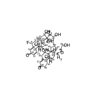 C[C@@H]1C[C@H]2[C@@H]3C[C@H](F)C4=CC(=O)C=C[C@]4(C)[C@H]3[C@@H](O)C[C@]2(C)[C@@]1(O)C(=O)CO.C[C@]12CC[C@H]3[C@@H](CCC4=CC(=O)CC[C@@]43C)[C@@H]1CC[C@@H]2C(=O)CO